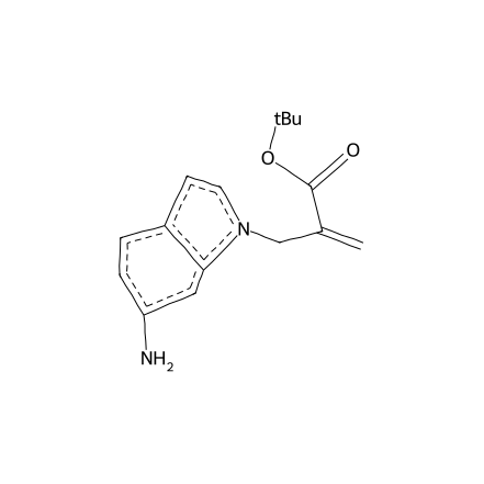 C=C(Cn1ccc2ccc(N)cc21)C(=O)OC(C)(C)C